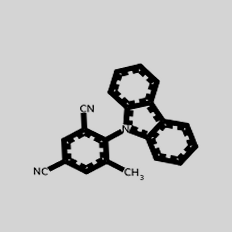 Cc1cc(C#N)cc(C#N)c1-n1c2ccccc2c2ccccc21